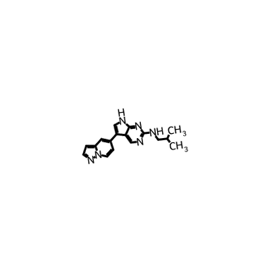 CC(C)CNc1ncc2c(-c3ccn4nccc4c3)c[nH]c2n1